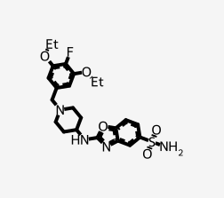 CCOc1cc(CN2CCC(Nc3nc4cc(S(N)(=O)=O)ccc4o3)CC2)cc(OCC)c1F